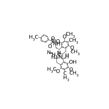 COc1c(C)c(OC)c2c(c1O)[C@H]1[C@@H]3Cc4c(OC)c(C)c(OC)c(O)c4[C@H](CNS(=O)(=O)c4ccc(C)cc4)N3[C@@H](C#N)[C@@H](C2)N1C